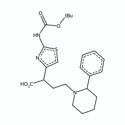 CC(C)(C)OC(=O)Nc1nc(C(CCN2CCCCC2c2ccccc2)C(=O)O)cs1